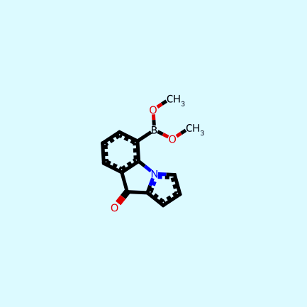 COB(OC)c1cccc2c1-n1cccc1C2=O